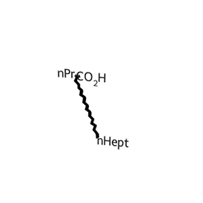 [CH2]CCCCCCC=CCCCCC=CC=CC=CC=CCCCC(CCC)C(=O)O